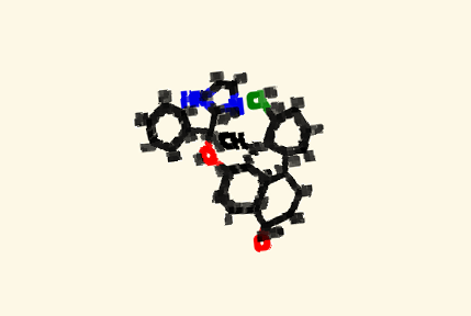 C[C@](Oc1ccc2c(c1)C(c1cccc(Cl)c1)CCC2=O)(c1ccccc1)c1ncc[nH]1